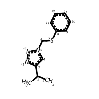 CC(C)c1cn(CSc2ccccc2)nn1